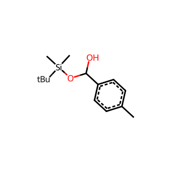 Cc1ccc(C(O)O[Si](C)(C)C(C)(C)C)cc1